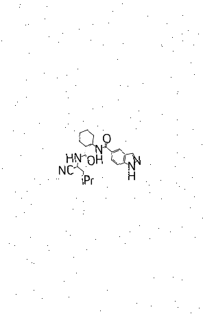 CC(C)C[C@@H](C#N)NC(=O)[C@@H]1CCCCC1NC(=O)c1ccc2[nH]ncc2c1